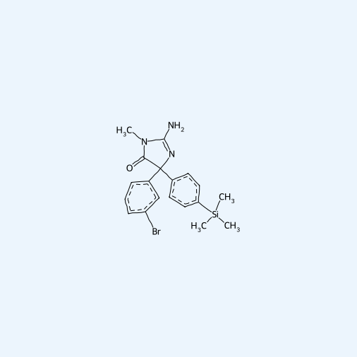 CN1C(=O)C(c2ccc([Si](C)(C)C)cc2)(c2cccc(Br)c2)N=C1N